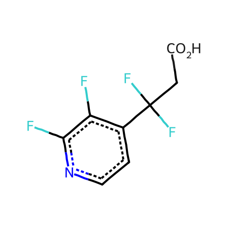 O=C(O)CC(F)(F)c1ccnc(F)c1F